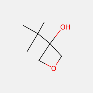 CC(C)(C)C1(O)COC1